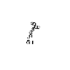 C=CC(=O)OCC(OCCOCCOCCOCCOCCO)Oc1ccccc1